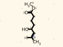 COC(=O)CCCC(O)/C=C(/C)I